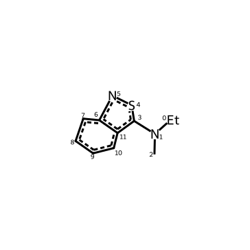 CCN(C)c1snc2ccccc12